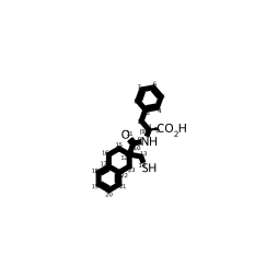 O=C(O)[C@H](Cc1ccccc1)NC(=O)C1(CS)CCc2ccccc2C1